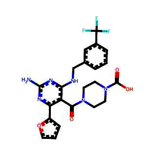 Nc1nc(NCc2cccc(C(F)(F)F)c2)c(C(=O)N2CCN(C(=O)O)CC2)c(-c2ccco2)n1